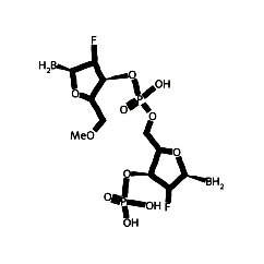 B[C@@H]1OC(COP(=O)(O)O[C@H]2C(COC)O[C@@H](B)C2F)[C@H](OP(=O)(O)O)C1F